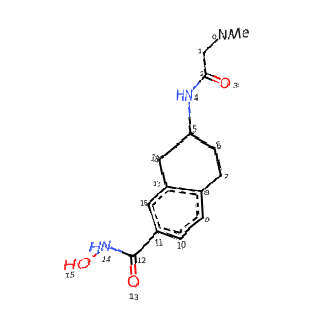 CNCC(=O)NC1CCc2ccc(C(=O)NO)cc2C1